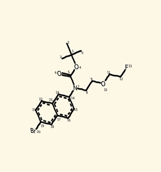 CC(C)(C)OC(=O)N(CCOCCF)c1ccc2cc(Br)ccc2c1